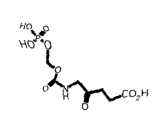 O=C(O)CCC(=O)CNC(=O)OCOP(=O)(O)O